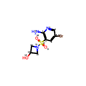 Nc1ncc(Br)cc1S(=O)(=O)N1CC(O)C1